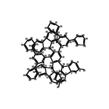 Cc1ccc2c(c1)c1cc(C)ccc1n2-c1cc(-c2cc(-c3ccccc3)nc(-c3ccccc3)n2)c(-n2c3ccccc3c3ccccc32)c(-c2cc(-c3ccccc3)nc(-c3ccccc3)n2)c1-n1c2ccccc2c2ccccc21